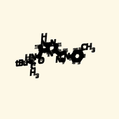 Cc1cccc(-n2cnc(-c3cnc4[nH]cc(C(=O)N[C@@H](C)C(C)(C)C)c4n3)c2)c1